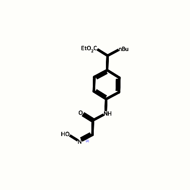 CCCCC(C(=O)OCC)c1ccc(NC(=O)/C=N\O)cc1